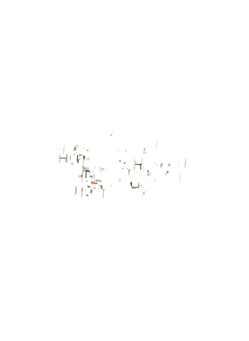 C=C1CO[C@@H]2[C@@H](C)/C(=N/C(C)=O)[C@H](C)C[C@@](C)(OC1)[C@H](O[C@@H]1O[C@H](C)C[C@H](N(C)C)[C@H]1OC(C)=O)[C@@H](C)C(=O)[C@](C)(F)C(=O)O[C@H](CC)[C@@]2(C)O